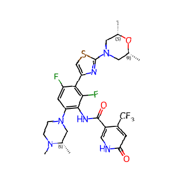 C[C@@H]1CN(c2nc(-c3c(F)cc(N4CCN(C)[C@@H](C)C4)c(NC(=O)c4c[nH]c(=O)cc4C(F)(F)F)c3F)cs2)C[C@H](C)O1